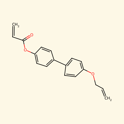 C=CCOc1ccc(-c2ccc(OC(=O)C=C)cc2)cc1